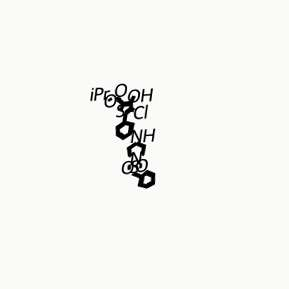 CC(C)OC(=O)c1sc(-c2cccc(NC3CCN(S(=O)(=O)Cc4ccccc4)CC3)c2)c(Cl)c1O